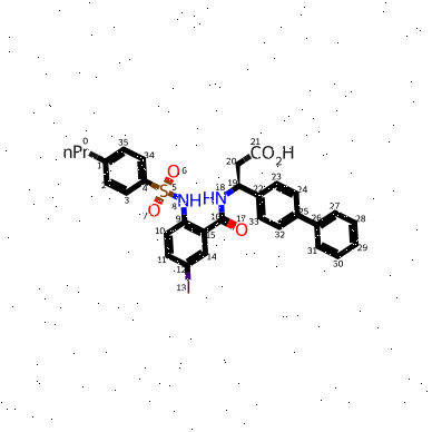 CCCc1ccc(S(=O)(=O)Nc2ccc(I)cc2C(=O)N[C@@H](CC(=O)O)c2ccc(-c3ccccc3)cc2)cc1